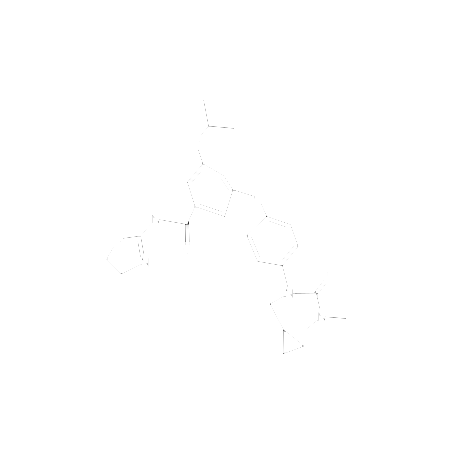 CC(C)Oc1cc(Oc2ccc(N(CC3CC3)C(=O)N(C)C)cc2)cc(C(=O)Nc2nccs2)c1